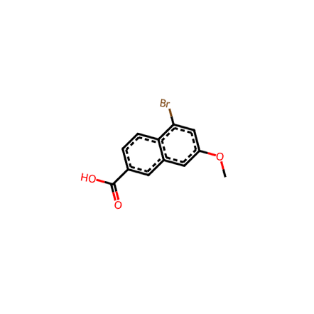 COc1cc(Br)c2ccc(C(=O)O)cc2c1